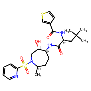 C[C@@H]1CC[C@H](NC(=O)[C@H](CC(C)(C)C)NC(=O)c2ccsc2)[C@@H](O)CN1S(=O)(=O)c1ccccn1